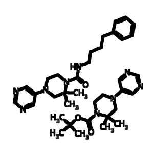 CC(C)(C)OC(=O)N1CCN(c2cncnc2)CC1(C)C.CC1(C)CN(c2cncnc2)CCN1C(=O)NCCCCc1ccccc1